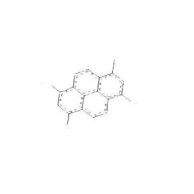 Bc1cc(C)c2ccc3c(B)cc(Br)c4ccc1c2c34